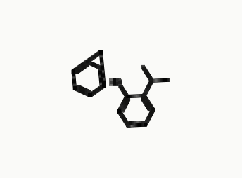 CC(C)c1ccccc1O.c1ccc2c(c1)C2